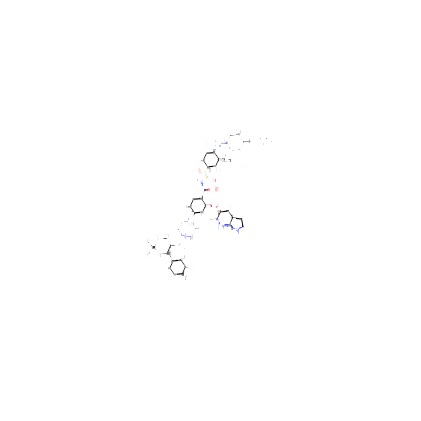 COC1CCC(Nc2ccc(S(=O)(=O)NC(=O)c3ccc(N4CCN(CC5=C(c6ccc(C(F)(F)F)cc6)CC(C)(C)CC5)CC4)cc3Oc3cnc4[nH]ccc4c3)cc2[N+](=O)[O-])CC1